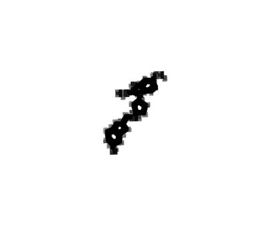 Cc1ccc2c(c1)nc(C)n2[C@H]1CC[C@@H](NCC2Cc3ccc(Br)cc3C2)C1